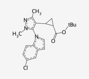 Cc1nn(C)c(-n2ccc3cc(Cl)ccc32)c1C1CC1C(=O)OC(C)(C)C